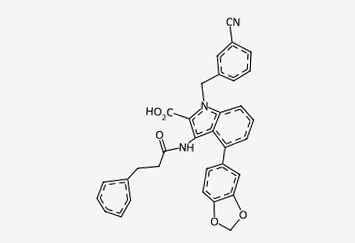 N#Cc1cccc(Cn2c(C(=O)O)c(NC(=O)CCc3ccccc3)c3c(-c4ccc5c(c4)OCO5)cccc32)c1